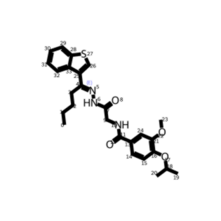 CCCC/C(=N\NC(=O)CNC(=O)c1ccc(OC(C)C)c(OC)c1)c1csc2ccccc12